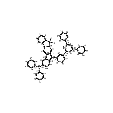 CC1(C)c2ccccc2C2C=c3c(n(-c4cccc(-c5cc(-c6ccccc6)nc(-c6ccccc6)n5)c4)c4ccc(N(c5ccccc5)c5ccccc5)cc34)=CC21